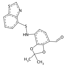 CC1(C)Oc2c(C=O)ccc(NSc3cccc4scnc34)c2O1